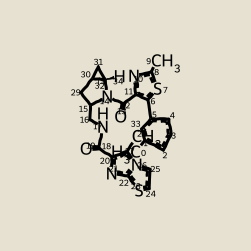 Cc1cccc(-c2sc(C)nc2C(=O)N2C(CNC(=O)c3nc4sccn4c3C)CC3C[C@@H]32)c1